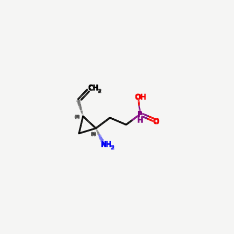 C=C[C@H]1C[C@]1(N)CC[PH](=O)O